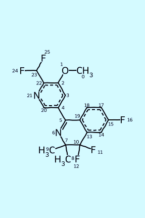 COc1cc(C2=NC(C)(C)C(F)(F)c3cc(F)ccc32)cnc1C(F)F